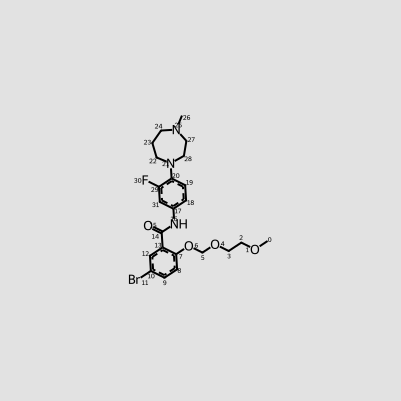 COCCOCOc1ccc(Br)cc1C(=O)Nc1ccc(N2CCCN(C)CC2)c(F)c1